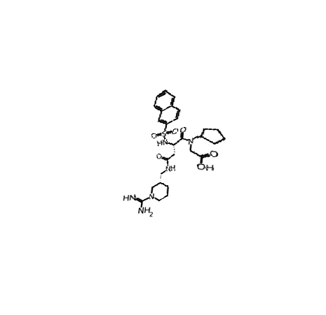 N=C(N)N1CCC[C@@H](CNC(=O)C[C@H](NS(=O)(=O)c2ccc3ccccc3c2)C(=O)N(CC(=O)O)C2CCCC2)C1